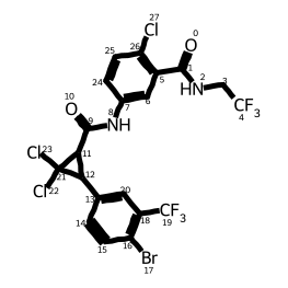 O=C(NCC(F)(F)F)c1cc(NC(=O)C2C(c3c#cc(Br)c(C(F)(F)F)c3)C2(Cl)Cl)ccc1Cl